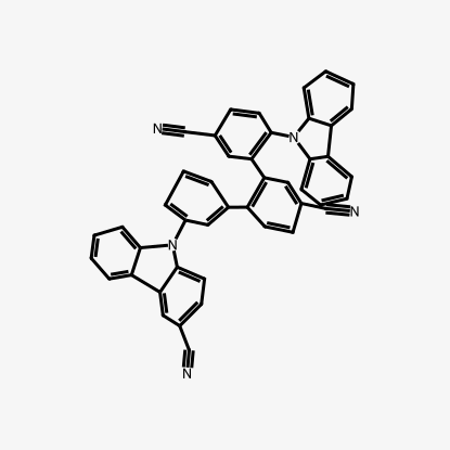 N#Cc1ccc(-c2cccc(-n3c4ccccc4c4cc(C#N)ccc43)c2)c(-c2cc(C#N)ccc2-n2c3ccccc3c3ccccc32)c1